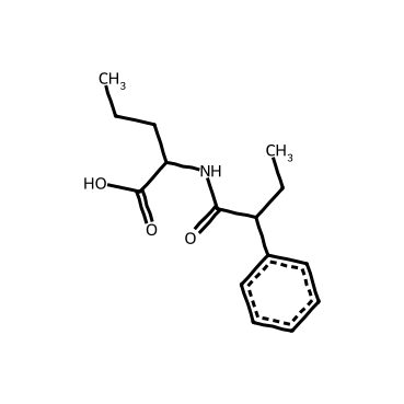 CCCC(NC(=O)C(CC)c1ccccc1)C(=O)O